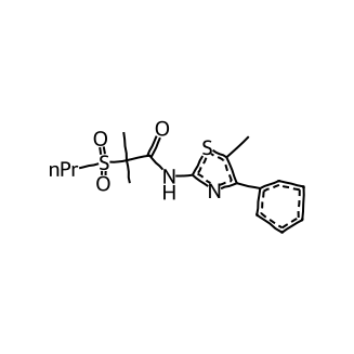 CCCS(=O)(=O)C(C)(C)C(=O)Nc1nc(-c2ccccc2)c(C)s1